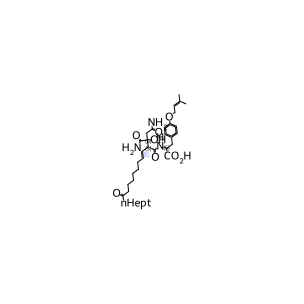 CCCCCCCC(=O)CCCCCC/C=C/[C@H](C(=O)N[C@@H](Cc1ccc(OCC=C(C)C)cc1)C(=O)O)[C@@](O)(CC(N)=O)C(N)=O